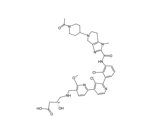 COc1nc(-c2ccnc(-c3cccc(NC(=O)c4nc5c(n4C)CCN(C4CCN(C(C)=O)CC4)C5)c3Cl)c2Cl)ccc1CNC[C@H](O)CC(=O)O